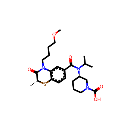 COCCCCN1C(=O)[C@@H](C)Sc2ccc(C(=O)N(C(C)C)[C@@H]3CCCN(C(=O)O)C3)cc21